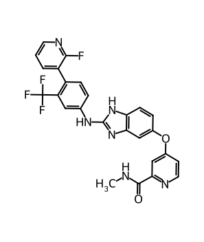 CNC(=O)c1cc(Oc2ccc3[nH]c(Nc4ccc(-c5cccnc5F)c(C(F)(F)F)c4)nc3c2)ccn1